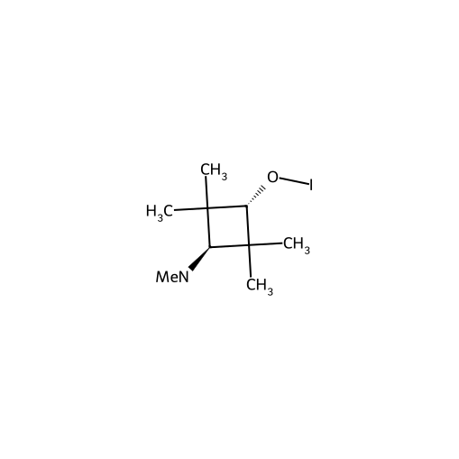 CN[C@H]1C(C)(C)[C@H](OI)C1(C)C